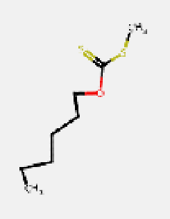 CCCCCCOC(=S)SC